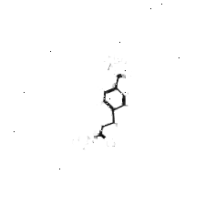 CC(C)(C)OC(=O)c1ccc(CCC(N)=O)cc1